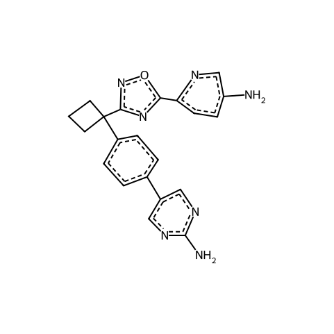 Nc1ccc(-c2nc(C3(c4ccc(-c5cnc(N)nc5)cc4)CCC3)no2)nc1